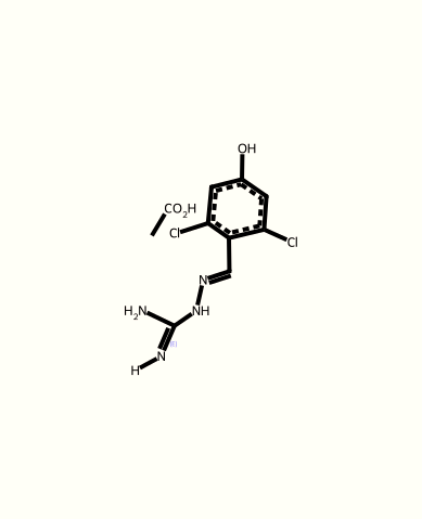 CC(=O)O.[H]/N=C(\N)NN=Cc1c(Cl)cc(O)cc1Cl